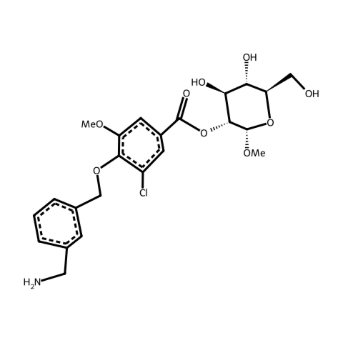 COc1cc(C(=O)O[C@H]2[C@@H](OC)O[C@H](CO)[C@@H](O)[C@@H]2O)cc(Cl)c1OCc1cccc(CN)c1